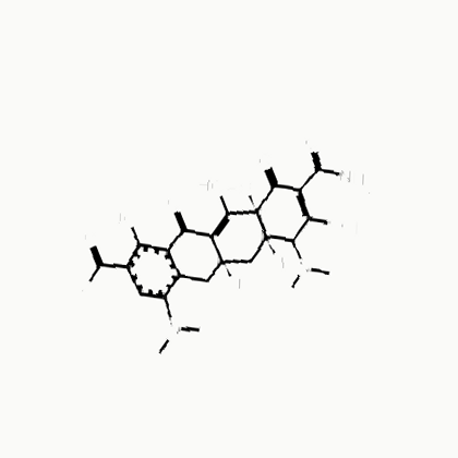 CN(C)c1cc([C](=O)[Y])c(O)c2c1C[C@H]1C[C@H]3C(N(C)C)C(O)=C(C(N)=O)C(=O)[C@@]3(O)C(O)=C1C2=O